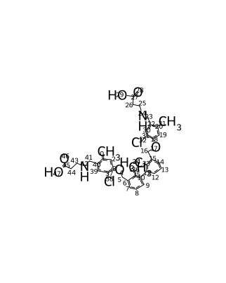 Cc1cc(OCc2cccc(-c3cccc(COc4cc(C)c(CNCCC(=O)O)cc4Cl)c3C)c2C)c(Cl)cc1CNCCC(=O)O